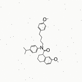 COc1ccc(CCCCN(C(=O)C2CCCc3ccc(OC)cc32)c2ccc(C(C)C)cc2)cc1